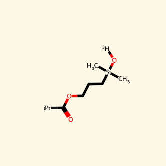 [3H]O[Si](C)(C)CCCOC(=O)C(C)C